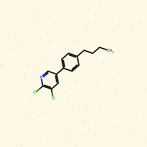 CCCCc1ccc(-c2cnc(Cl)c(Cl)c2)cc1